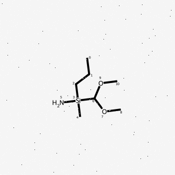 CCC[Si](C)(N)C(OC)OC